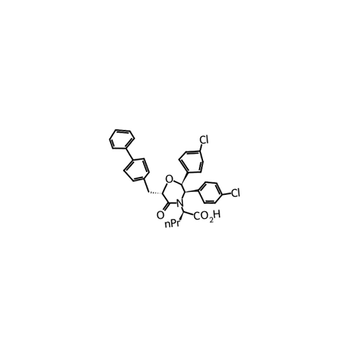 CCC[C@H](C(=O)O)N1C(=O)[C@H](Cc2ccc(-c3ccccc3)cc2)O[C@@H](c2ccc(Cl)cc2)[C@H]1c1ccc(Cl)cc1